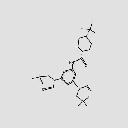 CC(C)(C)CN(C=O)c1cc(NC(=O)[C@H]2CC[C@@H](C(C)(C)C)CC2)cc(N(C=O)CC(C)(C)C)c1